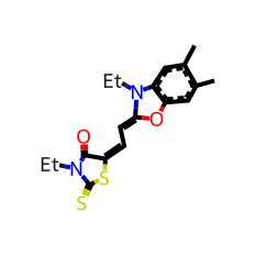 CCN1C(=O)/C(=C\C=C2/Oc3cc(C)c(C)cc3N2CC)SC1=S